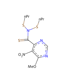 CCCSN(SCCC)C(=S)c1ncnc(OC)c1[N+](=O)[O-]